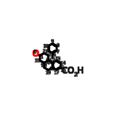 O=C1CC[C@@]2(Cc3ccccc3)c3ccc(C(=O)O)cc3CCC2C1